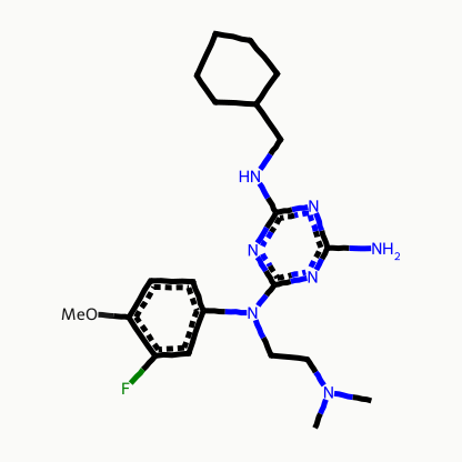 COc1ccc(N(CCN(C)C)c2nc(N)nc(NCC3CCCCC3)n2)cc1F